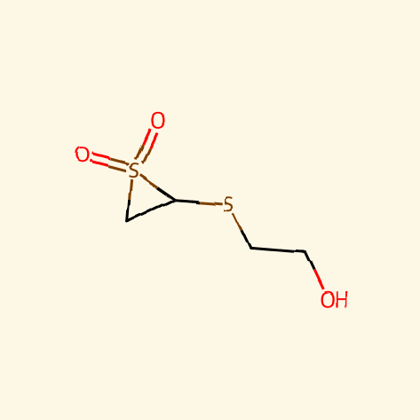 O=S1(=O)CC1SCCO